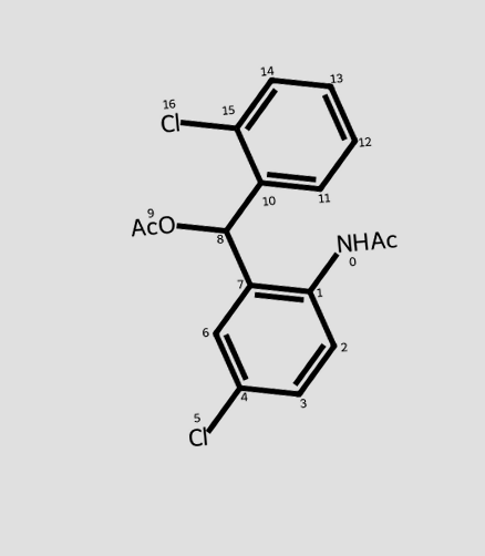 CC(=O)Nc1ccc(Cl)cc1C(OC(C)=O)c1ccccc1Cl